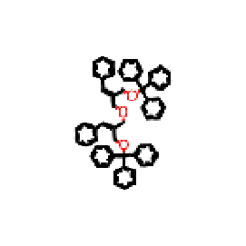 C(=C(\COC/C(=C/c1ccccc1)COC(c1ccccc1)(c1ccccc1)c1ccccc1)COC(c1ccccc1)(c1ccccc1)c1ccccc1)/c1ccccc1